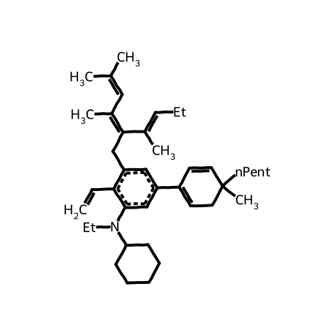 C=Cc1c(CC(=C(\C)C=C(C)C)/C(C)=C/CC)cc(C2=CCC(C)(CCCCC)C=C2)cc1N(CC)C1CCCCC1